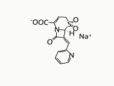 O=C([O-])C1=CCS(=O)(=O)[C@H]2C(=Cc3ccccn3)C(=O)N12.[Na+]